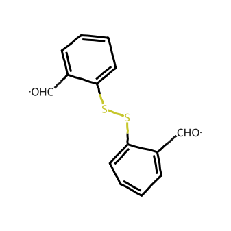 O=[C]c1ccccc1SSc1ccccc1[C]=O